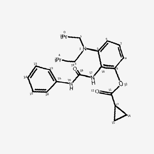 CC(C)CN(CC(C)C)c1cccc(OC(=O)C2CC2)c1NC(=O)Nc1ccccc1